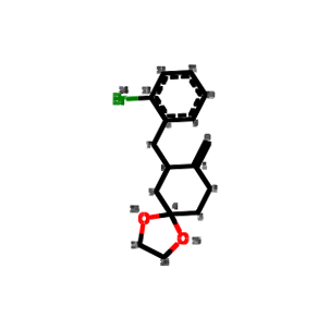 C=C1CCC2(CC1Cc1ccccc1Br)OCCO2